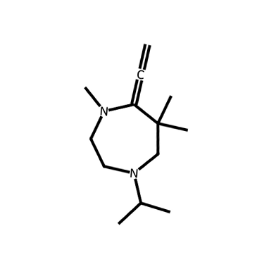 C=C=C1N(C)CCN(C(C)C)CC1(C)C